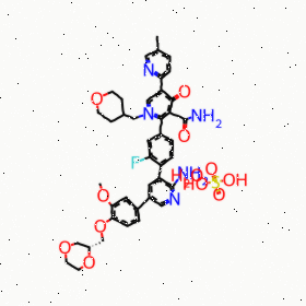 COc1cc(-c2cnc(N)c(-c3ccc(-c4c(C(N)=O)c(=O)c(-c5ccc(C)cn5)cn4CC4CCOCC4)cc3F)c2)ccc1OC[C@H]1COCCO1.O.O=S(=O)(O)O